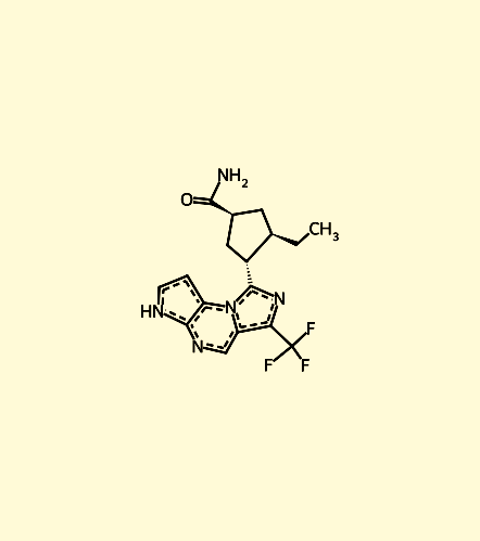 CC[C@@H]1C[C@H](C(N)=O)C[C@H]1c1nc(C(F)(F)F)c2cnc3[nH]ccc3n12